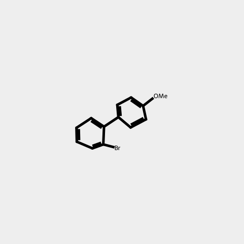 COc1ccc(-c2ccccc2Br)cc1